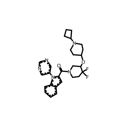 O=C(c1cc2ccccc2n1-c1cncnc1)N1CCC(F)(F)C(OC2CCN(C3CCC3)CC2)C1